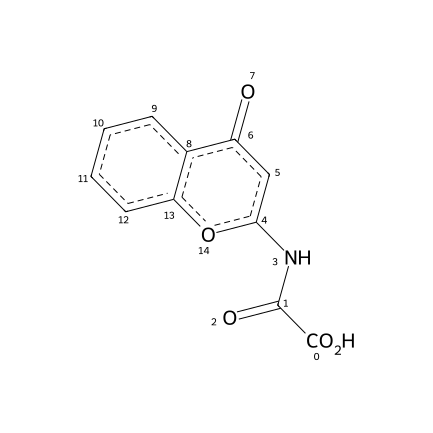 O=C(O)C(=O)Nc1cc(=O)c2ccccc2o1